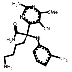 CSc1nc(N)nc([C@](CCCCN)(Nc2cccc(C(F)(F)F)c2)C(N)=O)c1C#N